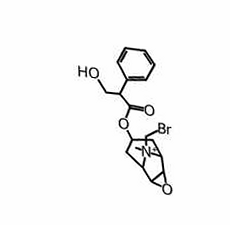 C[N+]1(CBr)C2CC(OC(=O)C(CO)c3ccccc3)CC1C1OC12